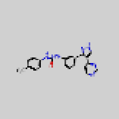 O=C(Nc1ccc(C(F)(F)F)cc1)Nc1cccc(-c2n[nH]cc2-c2ccncn2)c1